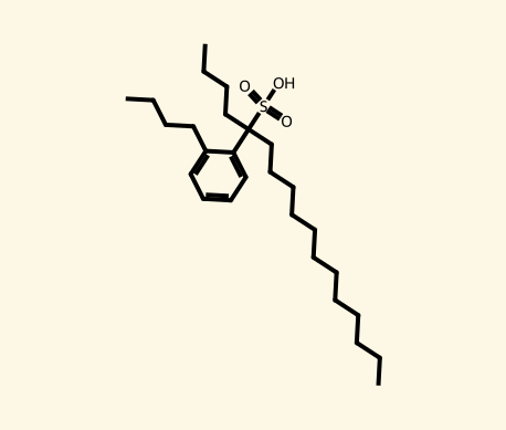 CCCCCCCCCCCCC(CCCC)(c1ccccc1CCCC)S(=O)(=O)O